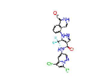 O=C=C1NC=Cc2c1cccc2-n1ncc(C(=O)Nc2cnn3c(Cl)cc(Cl)c3c2)c1C(F)(F)F